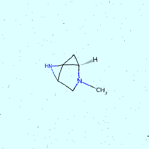 CN1CC2NC23C[C@@H]13